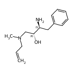 C=CCN(C)C[C@@H](O)[C@@H](N)Cc1ccccc1